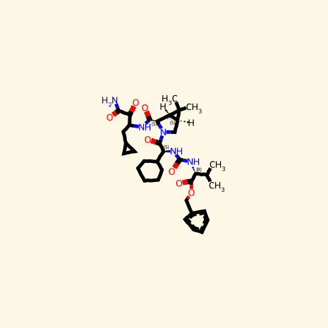 CC(C)[C@@H](NC(=O)N[C@H](C(=O)N1C[C@H]2[C@@H]([C@H]1C(=O)NC(CC1CC1)C(=O)C(N)=O)C2(C)C)C1CCCCC1)C(=O)OCc1ccccc1